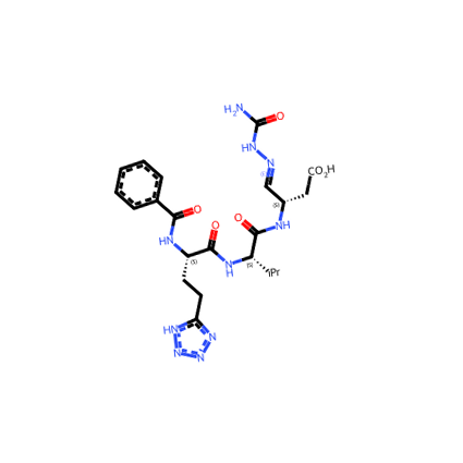 CC(C)[C@H](NC(=O)[C@H](CCc1nnn[nH]1)NC(=O)c1ccccc1)C(=O)N[C@H](/C=N/NC(N)=O)CC(=O)O